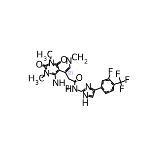 C=N/C=C(/CC(=O)Nc1nc(-c2ccc(C(F)(F)F)c(F)c2)c[nH]1)c1c(N)n(C)c(=O)n(C)c1=O